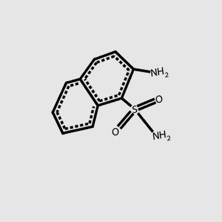 Nc1ccc2ccccc2c1S(N)(=O)=O